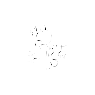 C[C@@H]1CCC[C@H](n2cnc(-c3cc(Cl)ccc3-n3cc(C(F)(F)F)nn3)cc2=O)c2cc(ccn2)-c2cnn(C)c2NC1=O.O=C(O)C(F)(F)F